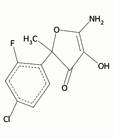 CC1(c2ccc(Cl)cc2F)OC(N)=C(O)C1=O